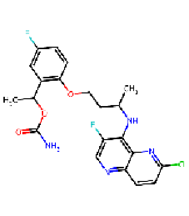 CC(CCOc1ccc(F)cc1C(C)OC(N)=O)Nc1c(F)cnc2ccc(Cl)nc12